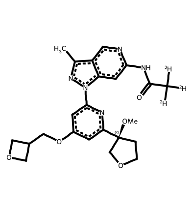 [2H]C([2H])([2H])C(=O)Nc1cc2c(cn1)c(C)nn2-c1cc(OCC2COC2)cc([C@]2(OC)CCOC2)n1